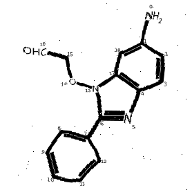 Nc1ccc2nc(-c3ccccc3)n(OCC=O)c2c1